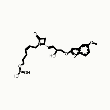 COc1ccc2sc(OCC(O)/C=C/[C@H]3CC(=O)N3C/C=C\CCCOP(O)O)cc2c1